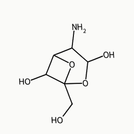 NC1C(O)OC2(CO)OC1C2O